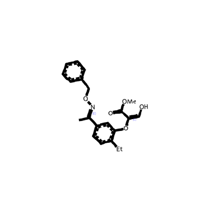 CCc1ccc(/C(C)=N/OCc2ccccc2)cc1O/C(=C/O)C(=O)OC